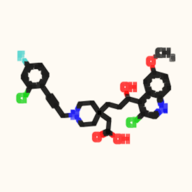 COc1ccc2ncc(Cl)c([C@H](O)CCC3(CC(=O)O)CCN(CC#Cc4ccc(F)cc4Cl)CC3)c2c1